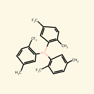 Cc1ccc(C(F)(F)F)c(B(c2cc(C(F)(F)F)ccc2C)c2cc(C)ccc2C(F)(F)F)c1